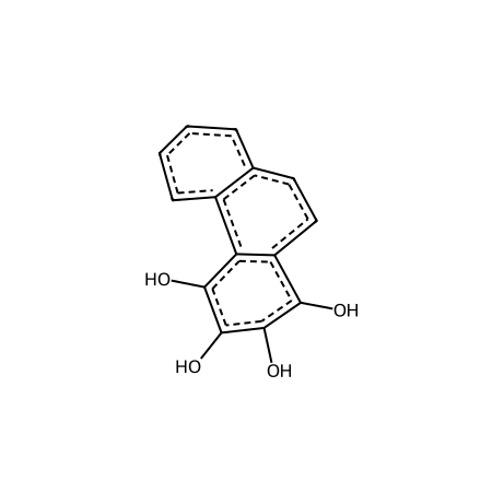 Oc1c(O)c(O)c2c(ccc3ccccc32)c1O